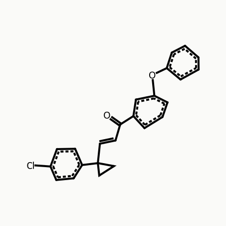 O=C(C=CC1(c2ccc(Cl)cc2)CC1)c1cccc(Oc2ccccc2)c1